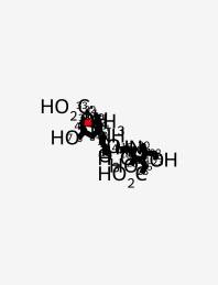 CC1=C(O)C2=C(CO)C[N+]1(NCC(=O)OCCC1(C)NC=C(CO)C(CC(=O)O)=C1O)CCN(CC(=O)O)C2